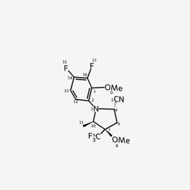 COc1c(N2[C@H](C#N)C[C@](OC)(C(F)(F)F)[C@H]2C)ccc(F)c1F